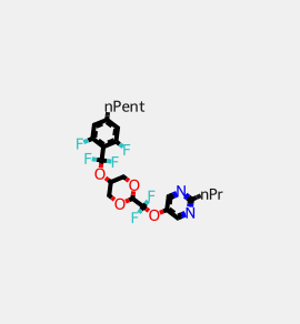 CCCCCc1cc(F)c(C(F)(F)OC2COC(C(F)(F)Oc3cnc(CCC)nc3)OC2)c(F)c1